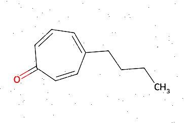 CCCCc1cccc(=O)cc1